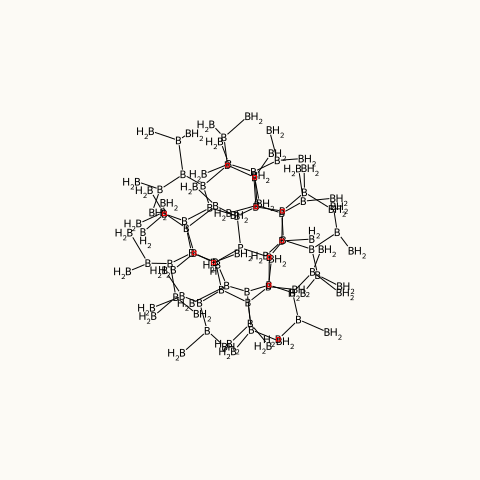 BBB(B)B(B(B)B)B(B(B(B(B)B)B(B)B)B(B(B)B)B(B)B)B(B(B(B(B)B)B(B)B)B(B(B)B)B(B)B)P(B(B(B(B(B)B)B(B)B)B(B(B)B)B(B)B)B(B(B(B)B)B(B)B)B(B(B)B)B(B)B)B(B(B(B(B)B)B(B)B)B(B(B)B)B(B)B)B(B(B(B)B)B(B)B)B(B(B)B)B(B)B